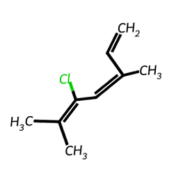 C=C/C(C)=C\C(Cl)=C(C)C